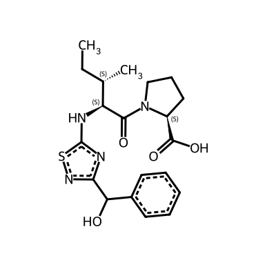 CC[C@H](C)[C@H](Nc1nc(C(O)c2ccccc2)ns1)C(=O)N1CCC[C@H]1C(=O)O